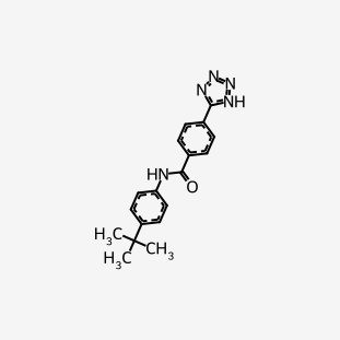 CC(C)(C)c1ccc(NC(=O)c2ccc(-c3nnn[nH]3)cc2)cc1